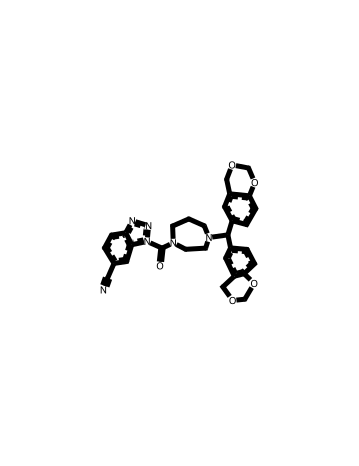 N#Cc1ccc2nnn(C(=O)N3CCCN(C(c4ccc5c(c4)COCO5)c4ccc5c(c4)COCO5)CC3)c2c1